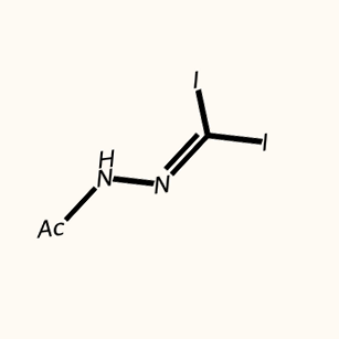 CC(=O)NN=C(I)I